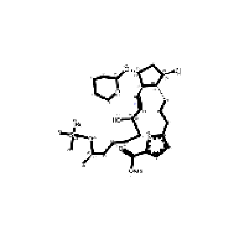 COC(=O)c1ccc(CCC[C@@H]2[C@@H](/C=C/[C@H](O)CCCC[C@@H](C)O[Si](C)(C)C(C)(C)C)[C@H](OC3CCCCO3)C[C@H]2Cl)s1